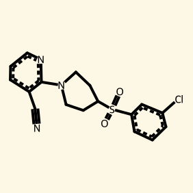 N#Cc1cccnc1N1CCC(S(=O)(=O)c2cccc(Cl)c2)CC1